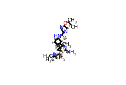 C#C[C@H](C)Oc1cnc(C(=O)Nc2ccc(F)c([C@@]3(C)N=C(N)S[C@@]4(C(=O)NC(C)(C)C)C[C@H]43)c2)cn1